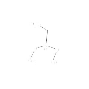 [CH2]C[SiH](OC)OC